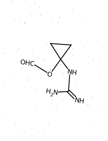 N=C(N)NC1(OC=O)CC1